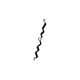 FC=CC=CCOCC=CC=CF